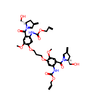 C=CCOC(=O)Nc1cc(OCCCOc2cc(NC(=O)OCC=C)c(C(=O)[N+]3=CC(=C)C[C@H]3CO)cc2OC)c(OC)cc1C(=O)[N+]1=CC(=C)C[C@H]1CO